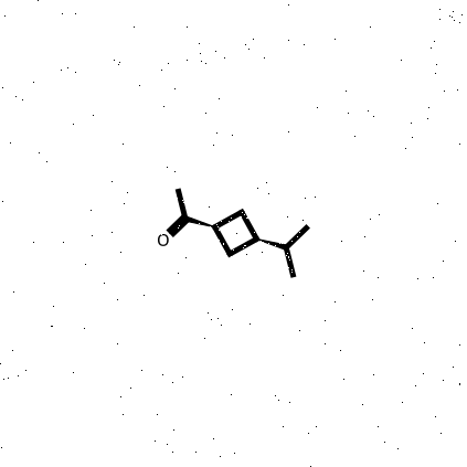 CC(=O)[C@H]1C[C@@H](C(C)C)C1